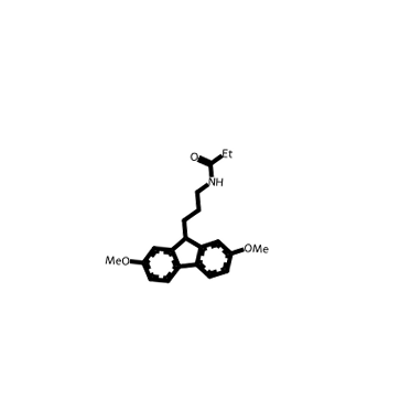 CCC(=O)NCCCC1c2cc(OC)ccc2-c2ccc(OC)cc21